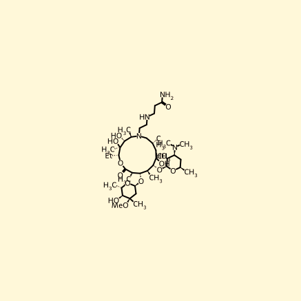 CC[C@H]1OC(=O)[C@H](C)[C@@H](O[C@H]2C[C@@](C)(OC)[C@@H](O)[C@H](C)O2)[C@H](C)[C@@H](O[C@@H]2O[C@H](C)C[C@H](N(C)C)[C@H]2O)[C@](C)(O)C[C@@H](C)CN(CCNCCC(N)=O)[C@H](C)[C@@H](O)[C@]1(C)O